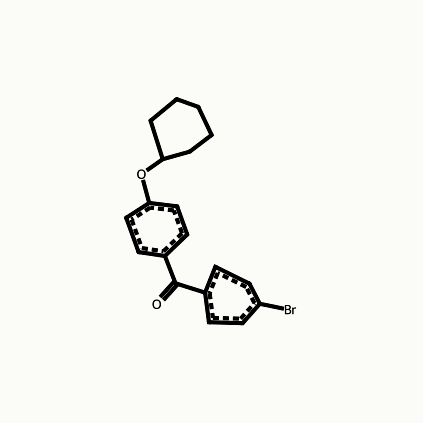 O=C(c1ccc(Br)cc1)c1ccc(OC2CCCCC2)cc1